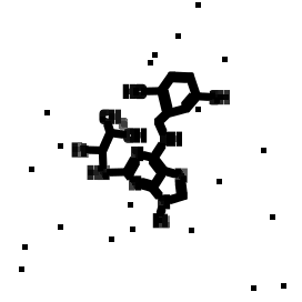 CCC(Nc1nc(NCc2cc(S)ccc2O)c2ncn(CC)c2n1)C(C)O